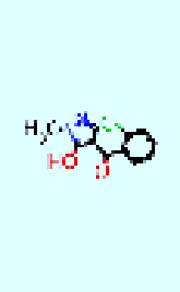 Cn1ncc(C(=O)c2ccccc2Cl)c1O